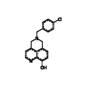 Oc1ccc2c3c(ccnc13)CN(Cc1ccc(Cl)cc1)C2